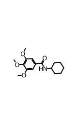 COc1cc(C(=O)NC2CCCCC2)cc(OC)c1OC